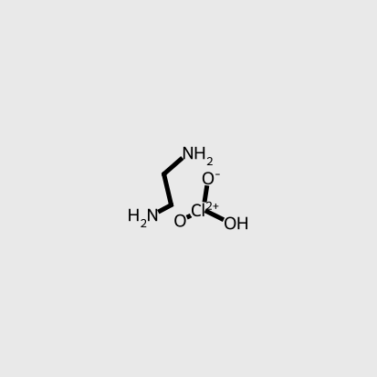 NCCN.[O-][Cl+2]([O-])O